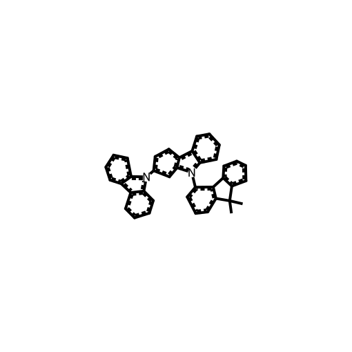 CC1(C)c2ccccc2-c2c(-n3c4ccccc4c4ccc(-n5c6ccccc6c6ccccc65)cc43)cccc21